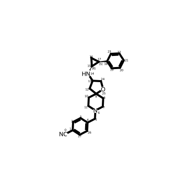 N#Cc1ccc(CN2CCC3(CC2)CC(N[C@@H]2C[C@H]2c2ccccc2)CO3)cc1